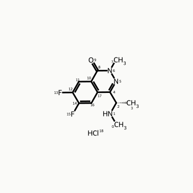 CN[C@@H](C)c1nn(C)c(=O)c2cc(F)c(F)cc12.Cl